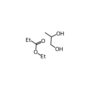 CC(O)CO.CCOC(=O)CC